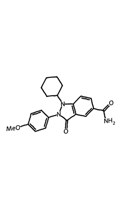 COc1ccc(-n2c(=O)c3cc(C(N)=O)ccc3n2C2CCCCC2)cc1